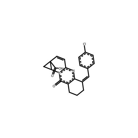 O=C(O)C12C=Cc3nc4c(c(=O)n3C1C2)CCC/C4=C/c1ccc(Cl)cc1